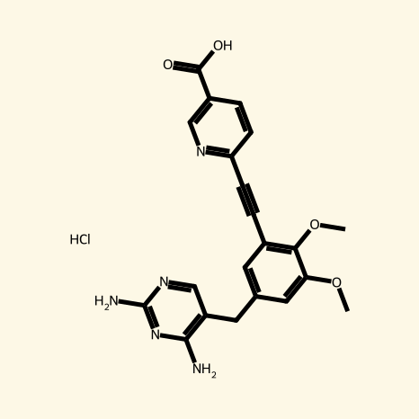 COc1cc(Cc2cnc(N)nc2N)cc(C#Cc2ccc(C(=O)O)cn2)c1OC.Cl